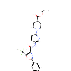 CCOC(=O)C1CCN(c2ccc(NC(=O)c3nc(-c4ccccc4)oc3C(F)(F)F)cn2)CC1